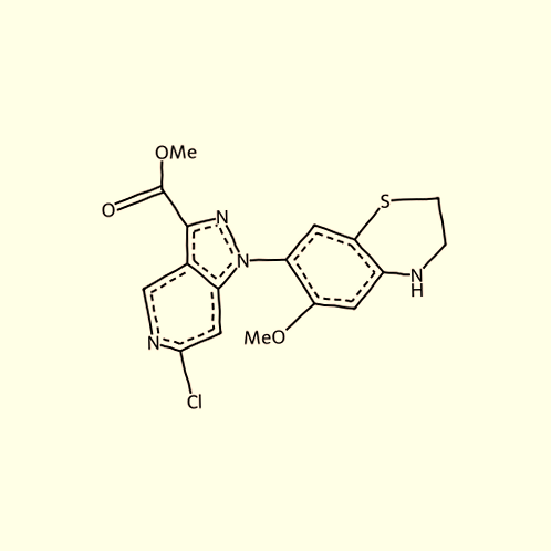 COC(=O)c1nn(-c2cc3c(cc2OC)NCCS3)c2cc(Cl)ncc12